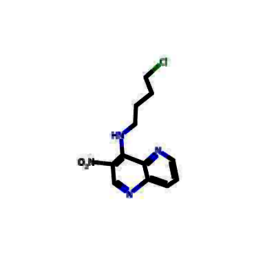 O=[N+]([O-])c1cnc2cccnc2c1NCCCCCl